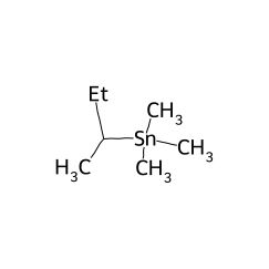 CC[CH](C)[Sn]([CH3])([CH3])[CH3]